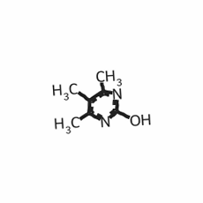 Cc1nc(O)nc(C)c1C